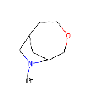 CC(C)N1CC2CCOCC1C2